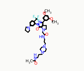 COc1cc(OC)cc(-c2nn(-c3cc(N4CCCC4)ccc3C(F)(F)F)c(=O)c3c2CCN3CC(=O)NCCCN2CCN(CCCNC(C)=O)CC2)c1